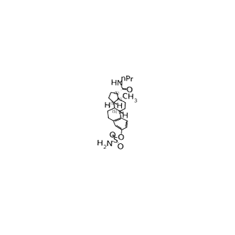 CCCNC(=O)[C@H]1CC[C@H]2[C@@H]3CCc4cc(OS(N)(=O)=O)ccc4[C@H]3CC[C@]12C